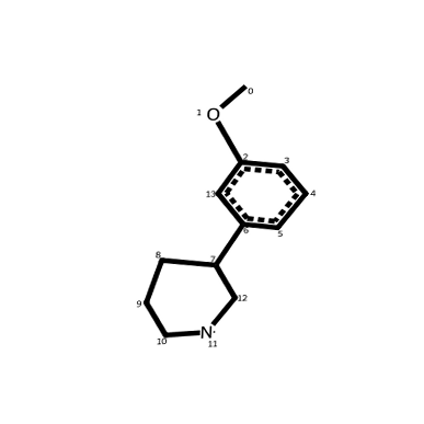 COc1cccc(C2CCC[N]C2)c1